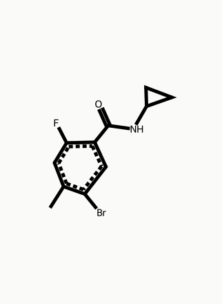 Cc1cc(F)c(C(=O)NC2CC2)cc1Br